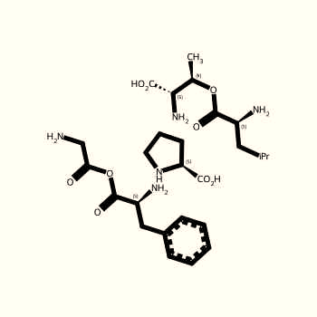 CC(C)C[C@H](N)C(=O)O[C@H](C)[C@H](N)C(=O)O.NCC(=O)OC(=O)[C@@H](N)Cc1ccccc1.O=C(O)[C@@H]1CCCN1